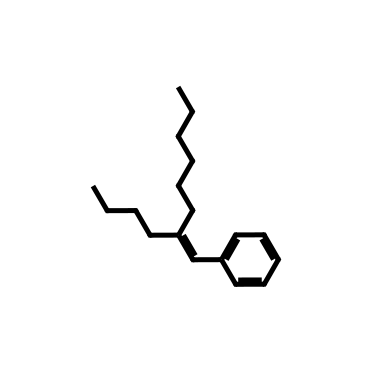 CCCCCCC(=Cc1ccccc1)CCCC